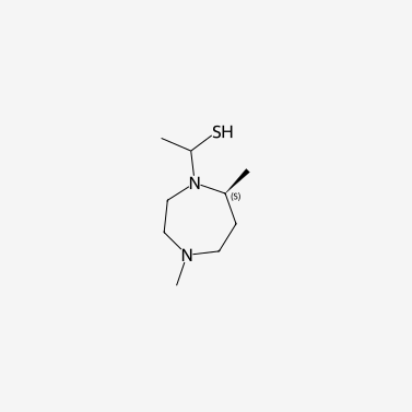 CC(S)N1CCN(C)CC[C@@H]1C